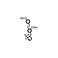 COc1ccc(COc2ccc(CC3(N)C=CC=CC3N)cc2OC)cc1